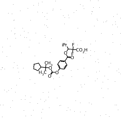 CC(C)C(OC(=O)c1ccc(OC(=O)OC(C)(C)C2CCCC2)cc1)C(F)(F)C(=O)O